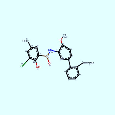 CNCc1ccccc1-c1ccc(OC(F)(F)F)c(N[S+]([O-])c2cc(C=O)cc(Cl)c2O)c1